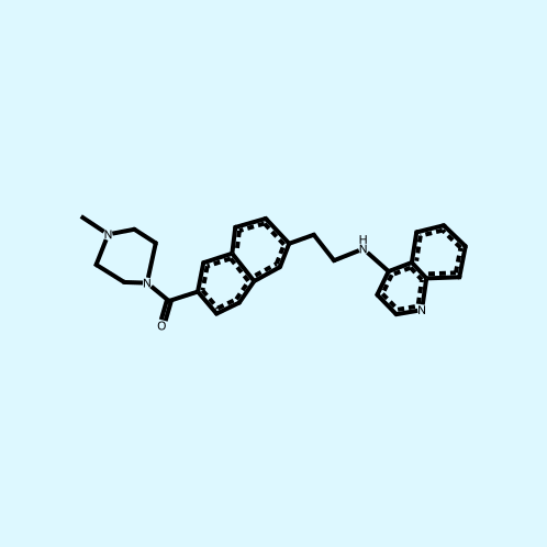 CN1CCN(C(=O)c2ccc3cc(CCNc4ccnc5ccccc45)ccc3c2)CC1